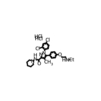 CCNCCOc1ccc(-c2c(C)c(C(=O)NN3CCCCC3)nn2-c2ccc(Cl)cc2Cl)cc1.Cl.Cl